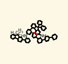 CC1(C)c2ccccc2-c2ccc(-c3ccccc3Nc3ccc(-c4cccc5c4-c4ccc(Nc6c(-c7ccccc7)cccc6-c6ccc(-c7ccccc7)cc6)cc4C5(c4ccccc4)c4ccccc4)cc3)cc21